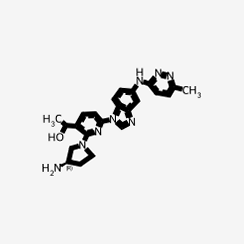 Cc1ccc(Nc2ccc3c(c2)ncn3-c2ccc(C(C)O)c(N3CC[C@@H](N)C3)n2)nn1